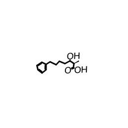 C[C@@H](C(=O)O)[C@H](O)CCCCc1ccccc1